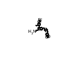 CCc1cc(OC(F)(F)F)ccc1-c1cn(CCCN)c2ccc(CN3CCN(Cc4ccc5c(c4)OCO5)CC3)cc12